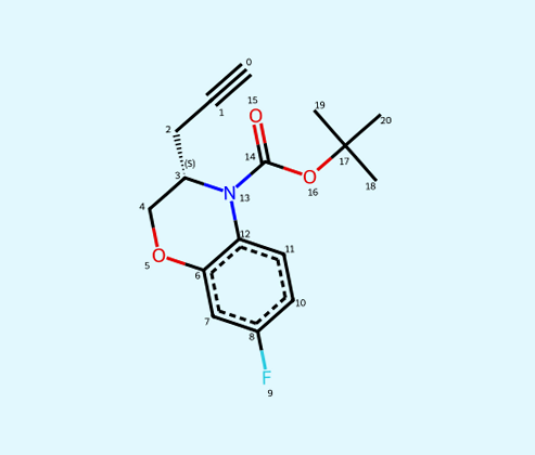 C#CC[C@H]1COc2cc(F)ccc2N1C(=O)OC(C)(C)C